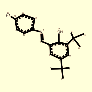 CC(C)(C)c1cc(/C=N/c2ccc(S)cc2)c(O)c(C(C)(C)C)c1